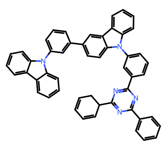 C1=CCC(c2nc(-c3ccccc3)nc(-c3cccc(-n4c5ccccc5c5cc(-c6cccc(-n7c8ccccc8c8ccccc87)c6)ccc54)c3)n2)C=C1